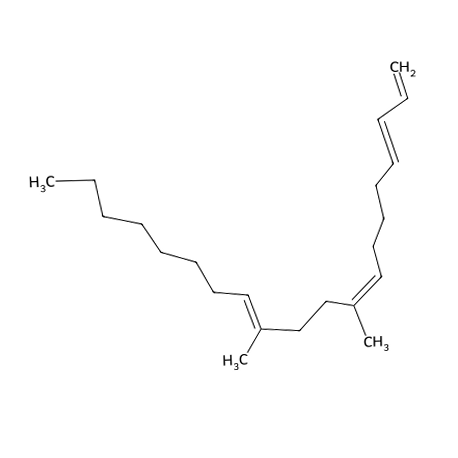 C=CC=CCCCC=C(C)CCC(C)=CCCCCCCC